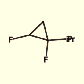 CC(C)C1(F)CC1F